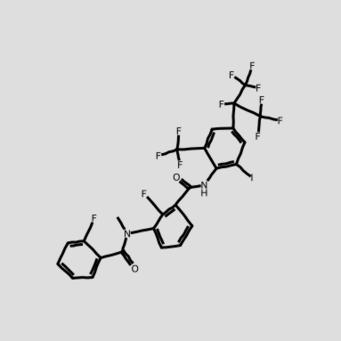 CN(C(=O)c1ccccc1F)c1cccc(C(=O)Nc2c(I)cc(C(F)(C(F)(F)F)C(F)(F)F)cc2C(F)(F)F)c1F